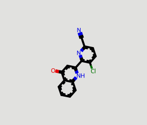 N#Cc1ccc(Cl)c(-c2cc(=O)c3ccccc3[nH]2)n1